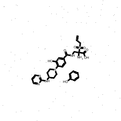 C=CCS(=O)(=O)C(N)(CNC(=O)c1ccc(N2CCC(Nc3ncccn3)CC2)c(O)c1)C(=O)O.Oc1ccccc1